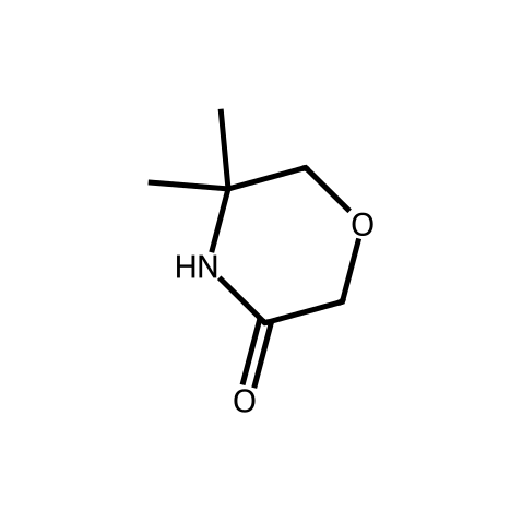 CC1(C)COCC(=O)N1